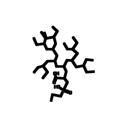 CCCP(=O)(O)CC(CC(CC(CC(CC)CC)CC(CC)CC)CC(CC(CC)CC)CC(CC(CC)CC)CC(CC)CC)C(=O)O